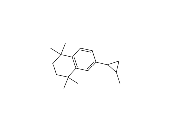 CC1CC1c1ccc2c(c1)C(C)(C)CCC2(C)C